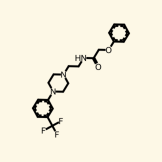 O=C(COc1ccccc1)NCCN1CCN(c2cccc(C(F)(F)F)c2)CC1